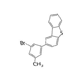 Cc1cc(Br)cc(-c2ccc3sc4ccccc4c3c2)c1